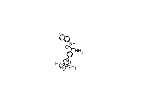 CC1(C)OB(c2ccc(C(CN)C(=O)Nc3ccc4cnccc4c3)cc2)OC1(C)C